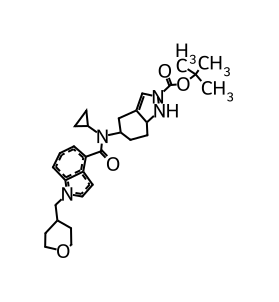 CC(C)(C)OC(=O)N1C=C2CC(N(C(=O)c3cccc4c3ccn4CC3CCOCC3)C3CC3)CCC2N1